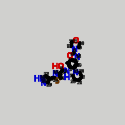 OC(Nc1cc2oc(N3CCOCC3)nc2cc1N1CCCCC1)c1csc(-c2cn[nH]c2)n1